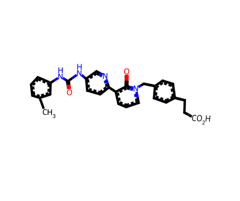 Cc1cccc(NC(=O)Nc2ccc(-c3cccn(Cc4ccc(CCC(=O)O)cc4)c3=O)nc2)c1